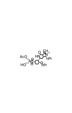 CCCOc1ccc(S(=O)(=O)N(CCO)CCOC(C)=O)cc1-c1cc2c(CCC)nn(C)c2c(=O)[nH]1